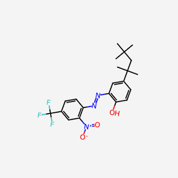 CC(C)(C)CC(C)(C)c1ccc(O)c(/N=N/c2ccc(C(F)(F)F)cc2[N+](=O)[O-])c1